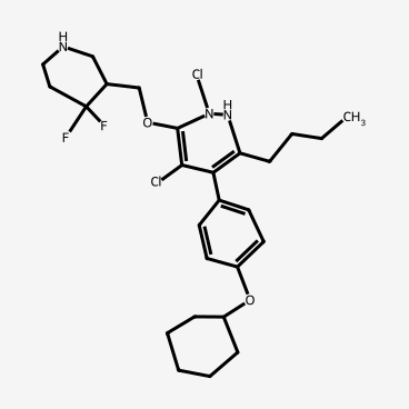 CCCCC1=C(c2ccc(OC3CCCCC3)cc2)C(Cl)=C(OCC2CNCCC2(F)F)N(Cl)N1